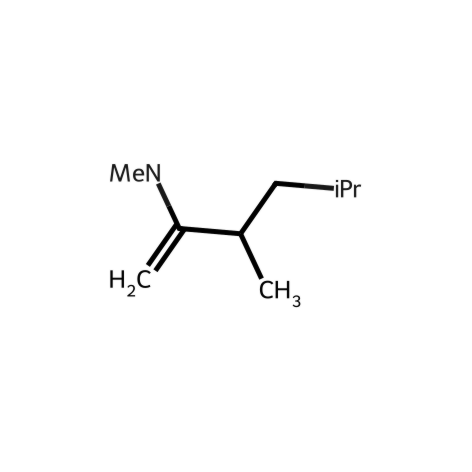 C=C(NC)C(C)CC(C)C